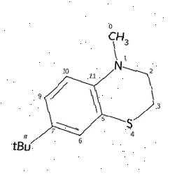 CN1CCSc2cc(C(C)(C)C)ccc21